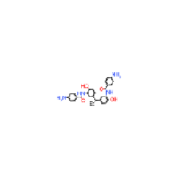 CCC(c1ccc(O)c(NC(=O)c2ccc(N)cc2)c1)c1ccc(O)c(NC(=O)c2ccc(N)cc2)c1